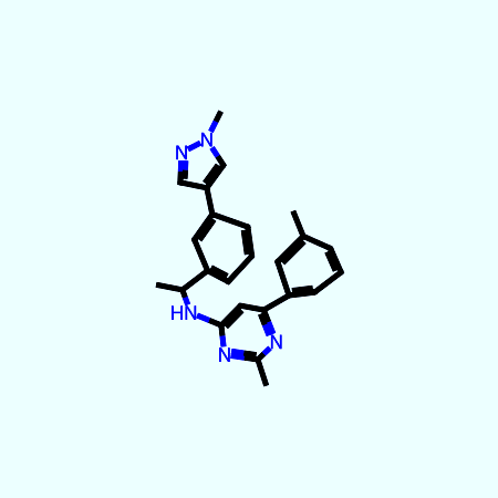 Cc1cccc(-c2cc(NC(C)c3cccc(-c4cnn(C)c4)c3)nc(C)n2)c1